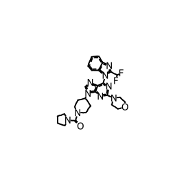 O=C(N1CCCC1)N1CCC(n2cnc3c(-n4c(C(F)F)nc5ccccc54)nc(N4CCOCC4)nc32)CC1